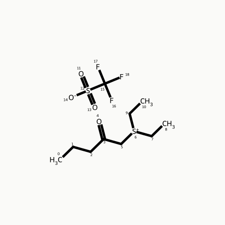 CCCC(=O)C[S+](CC)CC.O=S(=O)([O-])C(F)(F)F